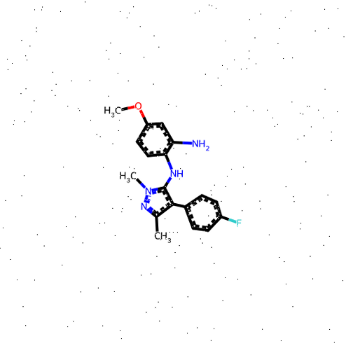 COc1ccc(Nc2c(-c3ccc(F)cc3)c(C)nn2C)c(N)c1